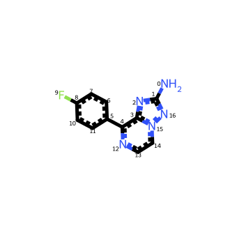 Nc1nc2c(-c3ccc(F)cc3)nccn2n1